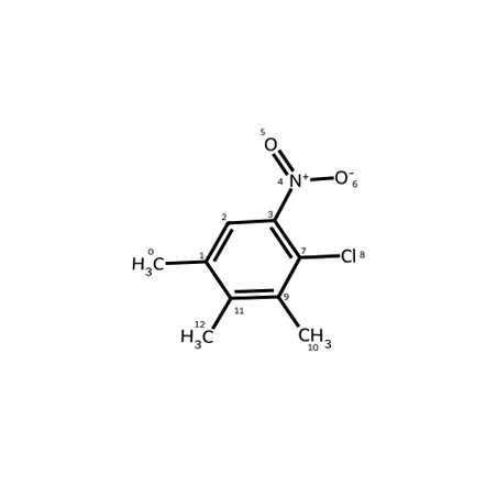 Cc1cc([N+](=O)[O-])c(Cl)c(C)c1C